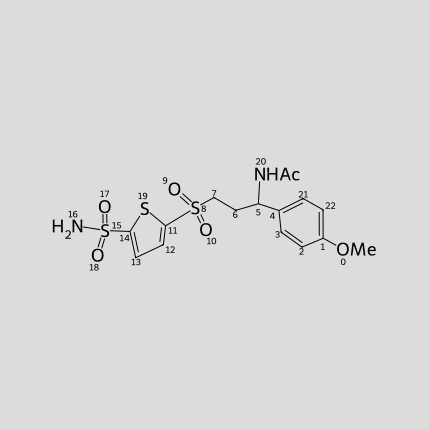 COc1ccc(C(CCS(=O)(=O)c2ccc(S(N)(=O)=O)s2)NC(C)=O)cc1